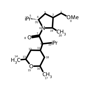 COCC1C[C@@H](C(C)C)N(C(=O)C(C(C)C)C2CC(C)OC(C)C2)C1C